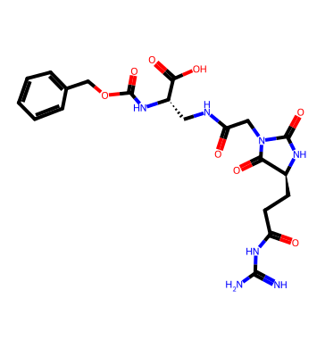 N=C(N)NC(=O)CC[C@@H]1NC(=O)N(CC(=O)NC[C@H](NC(=O)OCc2ccccc2)C(=O)O)C1=O